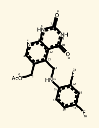 CC(=O)OCc1cnc2[nH]c(=O)[nH]c(=O)c2c1CNc1ccc(F)cc1F